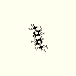 CC(C)(C)N1C[C@@H]2O[C@@]3(O)C(=O)N(C(C)(C)C)C[C@@H]3O[C@@]2(O)C1=O